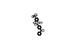 COc1cc([N+](=O)[O-])ccc1NC(=O)c1ccc(C(=O)c2ccccc2)cc1